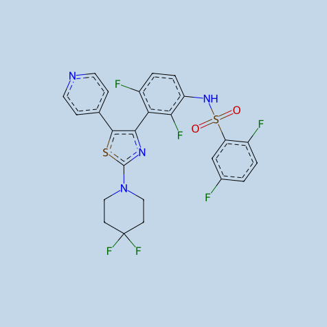 O=S(=O)(Nc1ccc(F)c(-c2nc(N3CCC(F)(F)CC3)sc2-c2ccncc2)c1F)c1cc(F)ccc1F